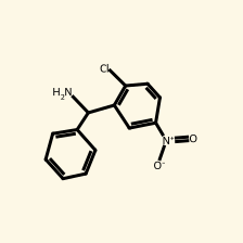 NC(c1ccccc1)c1cc([N+](=O)[O-])ccc1Cl